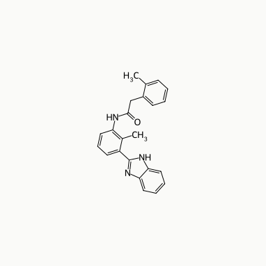 Cc1ccccc1CC(=O)Nc1cccc(-c2nc3ccccc3[nH]2)c1C